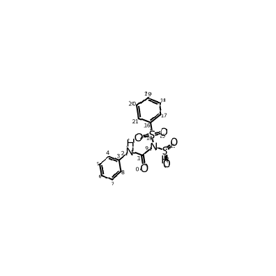 O=C(Nc1ccccc1)N([SH](=O)=O)S(=O)(=O)c1ccccc1